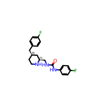 O=C(NC[C@@H]1C[C@H](Cc2ccc(F)cc2)CCN1)Nc1ccc(F)cc1